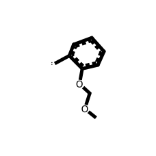 [CH]c1ccccc1OCOC